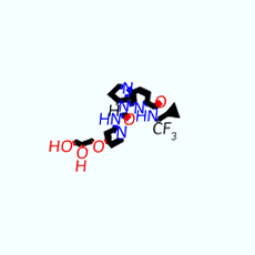 O=C(NC(C1CC1)C(F)(F)F)c1ccc2c(n1)N(C(=O)Nc1cc(OCC(O)CO)ccn1)[C@H]1CCN2C1